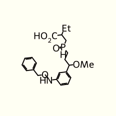 CCC(C[PH](=O)CCC(OC)c1cccc(NOCc2ccccc2)c1)C(=O)O